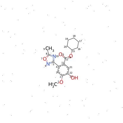 COc1cc(-c2noc(C)n2)c(C(=O)OC2CCCCC2)cc1O